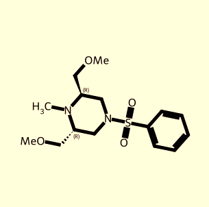 COC[C@H]1CN(S(=O)(=O)c2ccccc2)C[C@H](COC)N1C